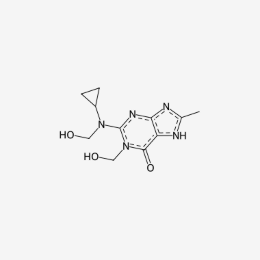 Cc1nc2nc(N(CO)C3CC3)n(CO)c(=O)c2[nH]1